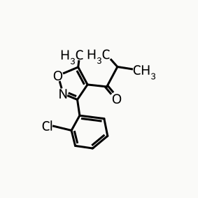 Cc1onc(-c2ccccc2Cl)c1C(=O)C(C)C